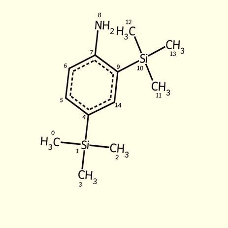 C[Si](C)(C)c1ccc(N)c([Si](C)(C)C)c1